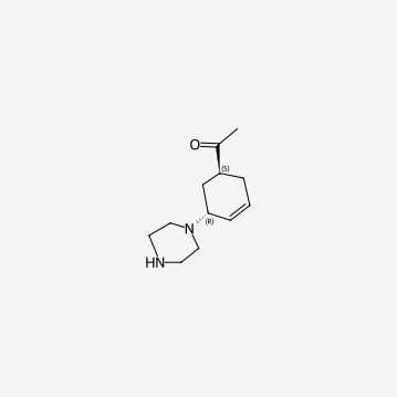 CC(=O)[C@H]1CC=C[C@H](N2CCNCC2)C1